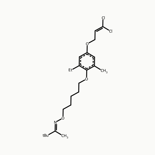 CCc1cc(OCC=C(Cl)Cl)cc(C)c1OCCCCCO/N=C(\C)C(C)(C)C